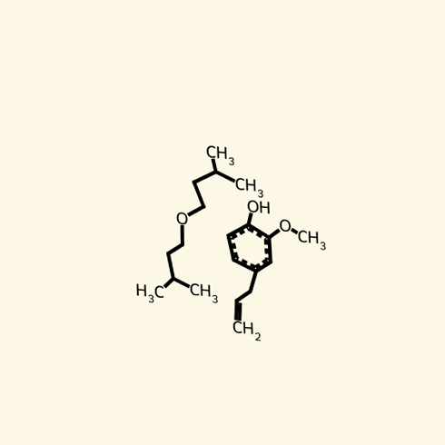 C=CCc1ccc(O)c(OC)c1.CC(C)CCOCCC(C)C